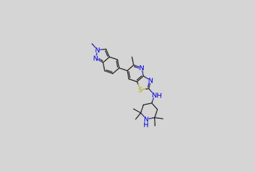 Cc1nc2nc(NC3CC(C)(C)NC(C)(C)C3)sc2cc1-c1ccc2nn(C)cc2c1